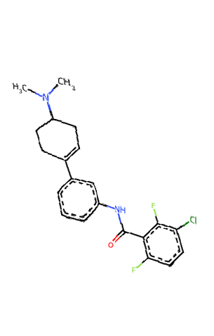 CN(C)C1CC=C(c2cccc(NC(=O)c3c(F)ccc(Cl)c3F)c2)CC1